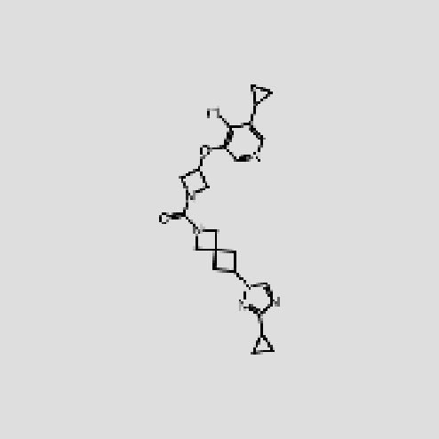 O=C(N1CC(Oc2cncc(C3CC3)c2Cl)C1)N1CC2(CC(n3cnc(C4CC4)n3)C2)C1